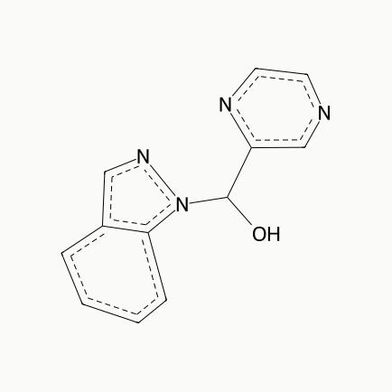 OC(c1cnccn1)n1ncc2ccccc21